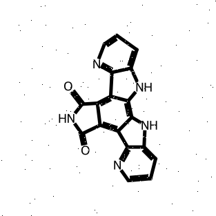 O=C1NC(=O)c2c1c1c3ncccc3[nH]c1c1[nH]c3cccnc3c21